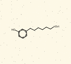 CCCCCCCCCCCCC[CH]c1cccc(O)c1